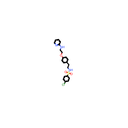 O=S(=O)(NCCc1ccc(OCCNc2ccccn2)cc1)c1ccc(Cl)cc1